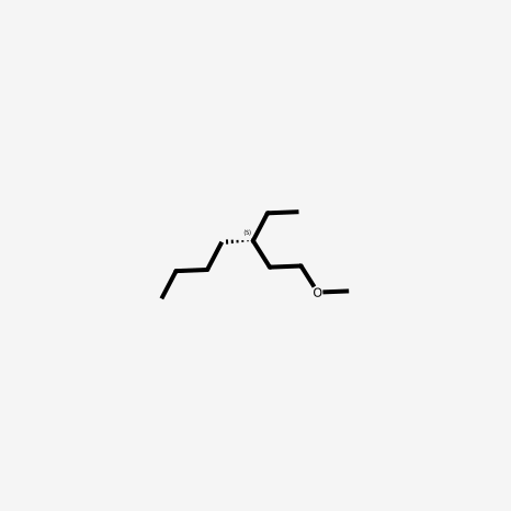 CCCC[C@H](CC)CCOC